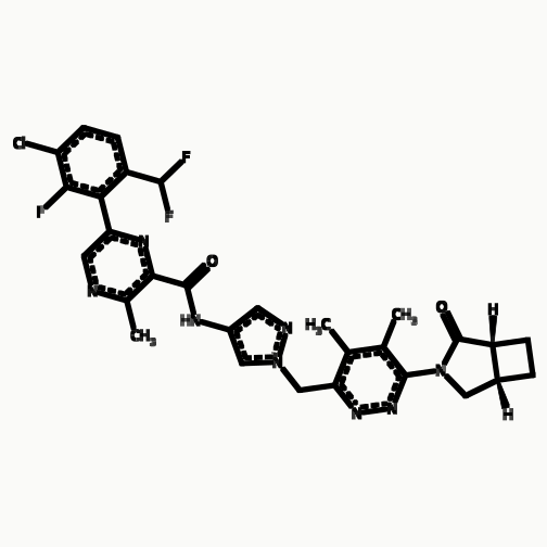 Cc1ncc(-c2c(C(F)F)ccc(Cl)c2F)nc1C(=O)Nc1cnn(Cc2nnc(N3C[C@H]4CC[C@H]4C3=O)c(C)c2C)c1